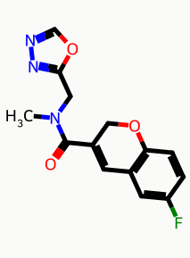 CN(Cc1nnco1)C(=O)C1=Cc2cc(F)ccc2OC1